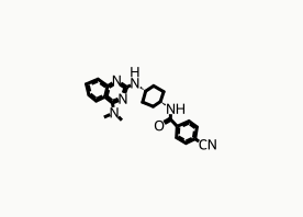 CN(C)c1nc(N[C@H]2CC[C@@H](NC(=O)c3ccc(C#N)cc3)CC2)nc2ccccc12